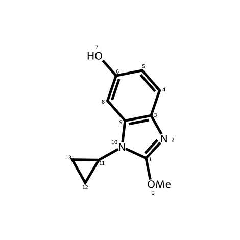 COc1nc2ccc(O)cc2n1C1CC1